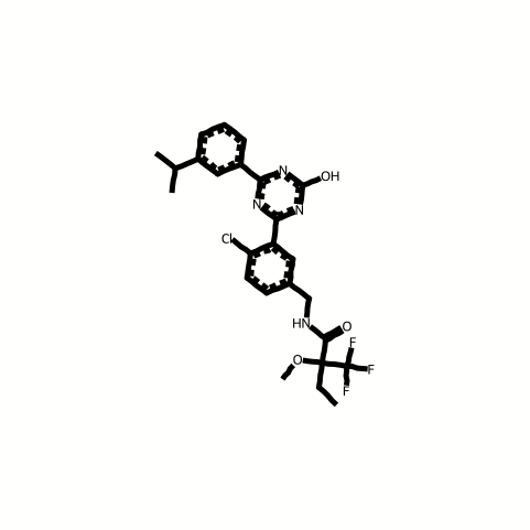 CCC(OC)(C(=O)NCc1ccc(Cl)c(-c2nc(O)nc(-c3cccc(C(C)C)c3)n2)c1)C(F)(F)F